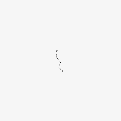 [O]C[CH]CI